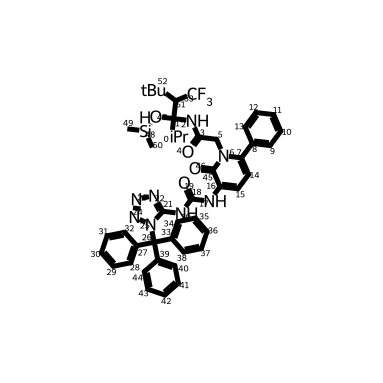 CC(C)C(NC(=O)Cn1c(-c2ccccc2)ccc(NC(=O)Nc2nnnn2C(c2ccccc2)(c2ccccc2)c2ccccc2)c1=O)(O[SiH](C)C)C(C(C)(C)C)C(F)(F)F